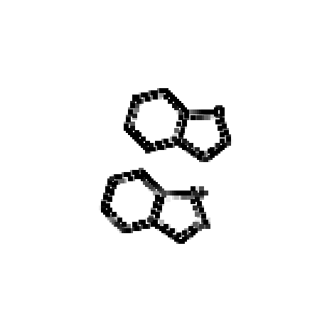 c1ccc2[nH]ncc2c1.c1ccc2occc2c1